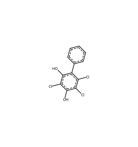 Oc1c(Cl)c(O)c(-c2ccccc2)c(Cl)c1Cl